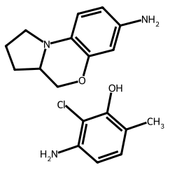 Cc1ccc(N)c(Cl)c1O.Nc1ccc2c(c1)OCC1CCCN21